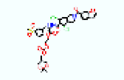 CC1(C)OCC(COC(=O)OCCOC(=O)[C@H](Cc2cccc(S(C)(=O)=O)c2)NC(=O)c2c(Cl)cc3c(c2Cl)CCN(C(=O)c2ccc4ccoc4c2)C3)CO1